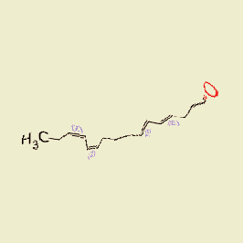 CC/C=C\C=C/CCC/C=C/C=C/CCC=O